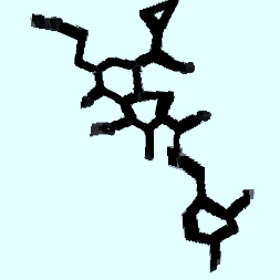 COCCN1CN(C(=O)C2CC2)n2cc(C(=O)NCc3ccc(F)cc3F)c(=O)c(O)c2C1=O